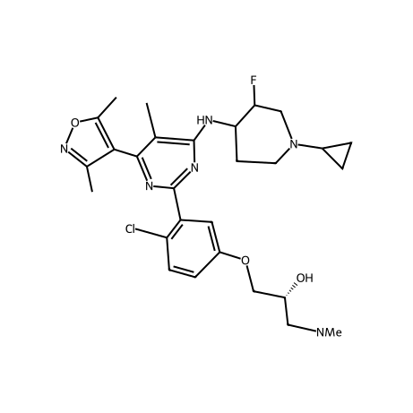 CNC[C@@H](O)COc1ccc(Cl)c(-c2nc(NC3CCN(C4CC4)CC3F)c(C)c(-c3c(C)noc3C)n2)c1